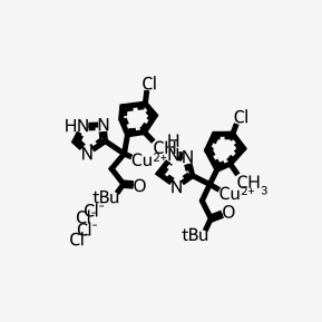 Cc1cc(Cl)ccc1[C]([Cu+2])(CC(=O)C(C)(C)C)c1nc[nH]n1.Cc1cc(Cl)ccc1[C]([Cu+2])(CC(=O)C(C)(C)C)c1nc[nH]n1.[Cl-].[Cl-].[Cl-].[Cl-]